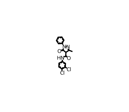 CC1=NN(c2ccccc2)C(=O)C1C(=O)Nc1ccc(Cl)c(Cl)c1